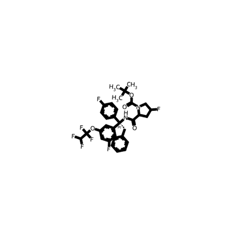 CC(C)(C)OC(=O)N1CC(F)CC1C(=O)N[C@](Cc1ccccc1)(c1ccc(F)cc1)c1cc(F)cc(OC(F)(F)C(F)F)c1